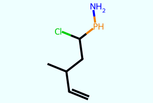 C=CC(C)CC(Cl)PN